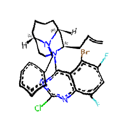 C=CC[C@@H]1[C@H]2CC[C@@H](CN1c1nc(Cl)nc3c(F)cc(F)c(Br)c13)N2Cc1ccccc1